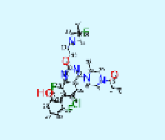 C=CC(=O)N1CCN(c2nc(OCCN3CC(C)(F)C3)nc3c(F)c(-c4c(O)cccc4F)c(Cl)cc23)[C@@H](C)C1